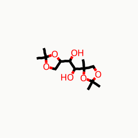 CC1(C)OCC(C(O)C(O)C2(C)COC(C)(C)O2)O1